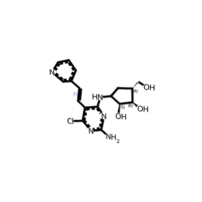 Nc1nc(Cl)c(/C=C/c2cccnc2)c(NC2C[C@H](CO)[C@@H](O)[C@H]2O)n1